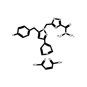 CN(C)C(=O)c1noc(Cn2nc(-c3ccncc3)cc2Cc2ccc(F)cc2)n1.O=C(O)/C=C\C(=O)O